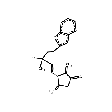 C=C1CC(=O)C(=C)[C@H]1/C=C/[C@](C)(O)CCc1cc2ccccc2s1